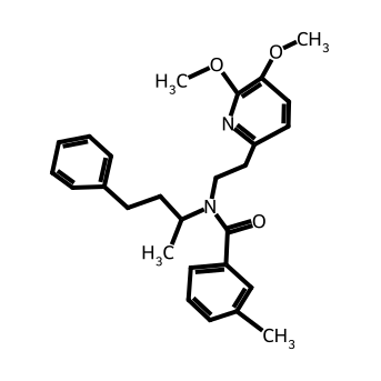 COc1ccc(CCN(C(=O)c2cccc(C)c2)C(C)CCc2ccccc2)nc1OC